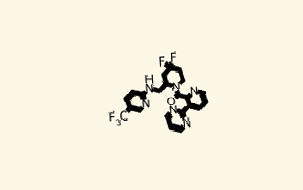 O=C(c1ncccc1-c1ncccn1)N1CCC(F)(F)CC1CNc1ccc(C(F)(F)F)cn1